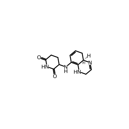 O=C1CCC(NC2=C3NCC=N[C@@H]3CC=C2)C(=O)N1